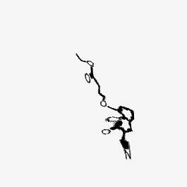 CCOC(=O)CCCOc1cccc2cc(C#N)c(=O)oc12